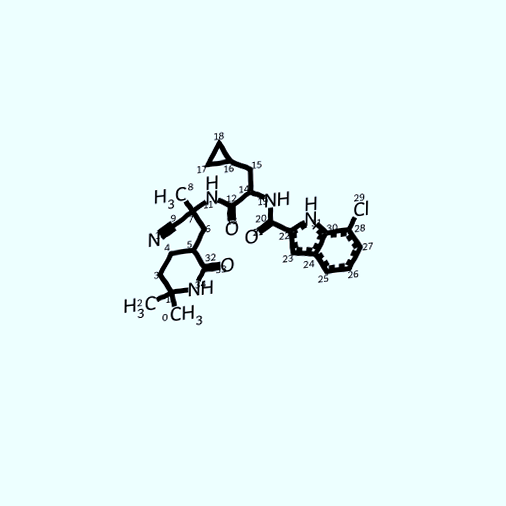 CC1(C)CCC(CC(C)(C#N)NC(=O)C(CC2CC2)NC(=O)c2cc3cccc(Cl)c3[nH]2)C(=O)N1